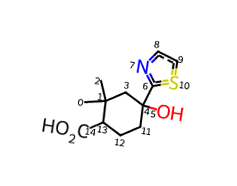 CC1(C)CC(O)(c2nccs2)CCC1C(=O)O